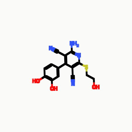 N#Cc1c(N)nc(SCCO)c(C#N)c1-c1ccc(O)c(O)c1